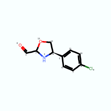 O=CC1N[C@H](c2ccc(Cl)cc2)CO1